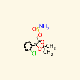 CC1(C)O[C@@H](COS(N)=O)[C@H](c2ccccc2Cl)O1